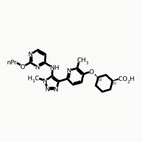 CCCOc1nccc(Nc2c(-c3ccc(O[C@H]4CCC[C@H](C(=O)O)C4)c(C)n3)nnn2C)n1